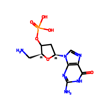 NC[C@H]1O[C@@H](n2cnc3c(=O)[nH]c(N)nc32)CC1OP(=O)(O)O